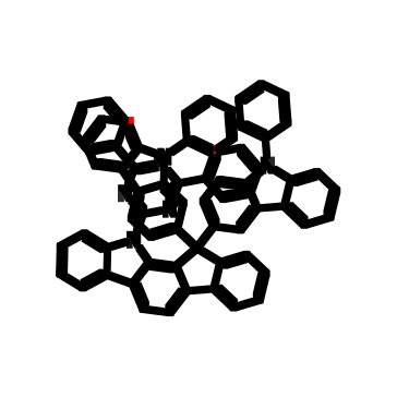 c1ccc(-c2nc(-c3ccccc3)nc(-n3c4ccccc4c4ccc5c(c43)C(c3ccc4c(c3)c3ccccc3n4-c3ccccc3)(c3ccc4c6ccccc6n(-c6ccccc6)c4c3)c3ccccc3-5)n2)cc1